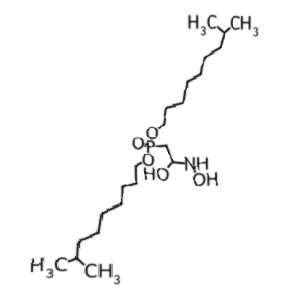 CC(C)CCCCCCCOP(=O)(CC(O)NO)OCCCCCCCC(C)C